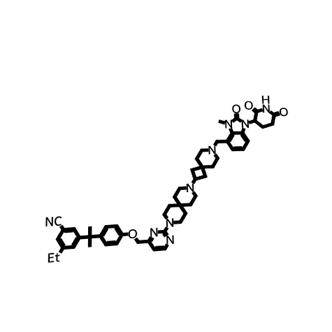 CCc1cc(C#N)cc(C(C)(C)c2ccc(OCc3ccnc(N4CCC5(CC4)CCN(C4CC6(CCN(Cc7cccc8c7n(C)c(=O)n8C7CCC(=O)NC7=O)CC6)C4)CC5)n3)cc2)c1